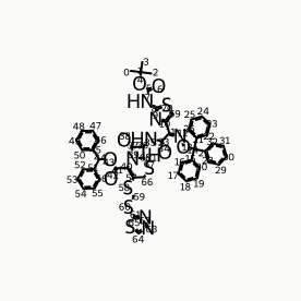 CC(C)(C)OC(=O)Nc1nc(/C(=N/OC(c2ccccc2)(c2ccccc2)c2ccccc2)C(=O)NC2C(=O)N3C(C(=O)OC(c4ccccc4)c4ccccc4)=C(SCSc4nncs4)CS[C@H]23)cs1